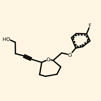 OCCC#CC1CCCCC(COc2ccc(F)cc2)O1